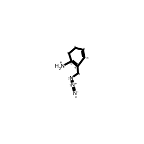 [N-]=[N+]=NCC1=C(N)CCC=C1